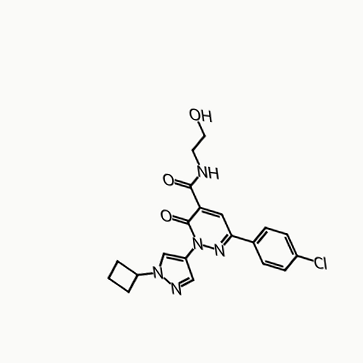 O=C(NCCO)c1cc(-c2ccc(Cl)cc2)nn(-c2cnn(C3CCC3)c2)c1=O